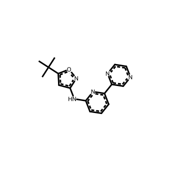 CC(C)(C)c1cc(Nc2cccc(-c3cnccn3)n2)no1